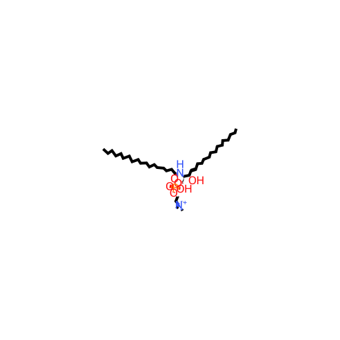 CCCCCCCCCCCCC/C=C/[C@@H](O)[C@H](COP(=O)(O)OCC[N+](C)(C)C)NC(=O)CCCCCCCCCCCCCCCCC